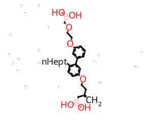 C=C(CCOc1ccc(CCCCCCC)c(-c2cccc(OCCOCB(O)O)c2)c1)CB(O)O